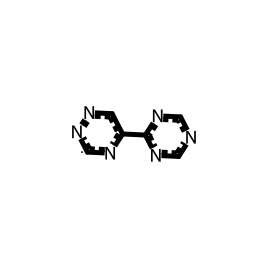 [c]1nncc(-c2ncncn2)n1